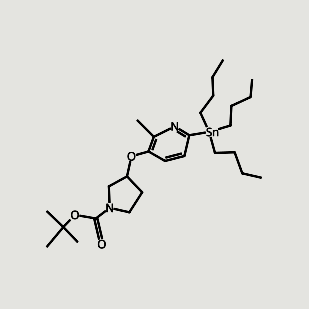 CCC[CH2][Sn]([CH2]CCC)([CH2]CCC)[c]1ccc(OC2CCN(C(=O)OC(C)(C)C)C2)c(C)n1